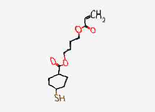 C=CC(=O)OCCCCOC(=O)C1CCC(S)CC1